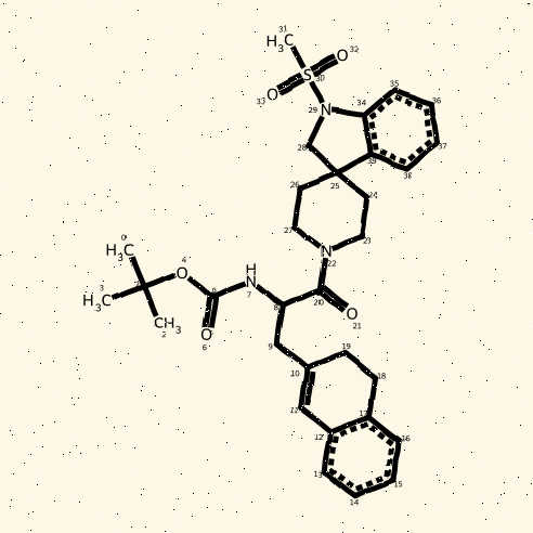 CC(C)(C)OC(=O)NC(CC1=Cc2ccccc2CC1)C(=O)N1CCC2(CC1)CN(S(C)(=O)=O)c1ccccc12